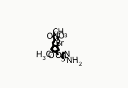 COc1cc(/C=C2\SC(=O)N(C)C2=O)c(Br)cc1Oc1cnc(N)s1